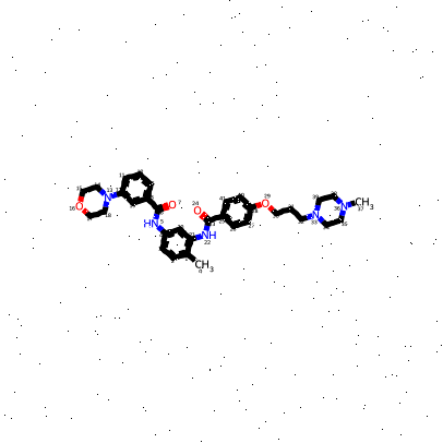 Cc1ccc(NC(=O)c2cccc(N3CCOCC3)c2)cc1NC(=O)c1ccc(OCCCN2CCN(C)CC2)cc1